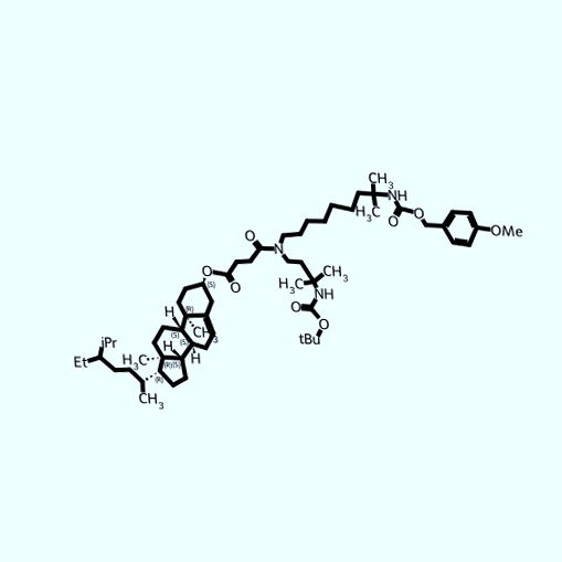 CCC(CCC(C)[C@H]1CC[C@H]2[C@@H]3CC=C4C[C@@H](OC(=O)CCC(=O)N(CCCCCCCC(C)(C)NC(=O)OCc5ccc(OC)cc5)CCC(C)(C)NC(=O)OC(C)(C)C)CC[C@]4(C)[C@H]3CC[C@]12C)C(C)C